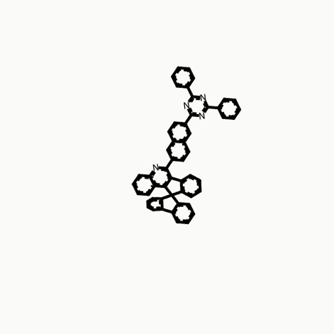 c1ccc(-c2nc(-c3ccccc3)nc(-c3ccc4cc(-c5nc6ccccc6c6c5-c5ccccc5C65c6ccccc6-c6ccccc65)ccc4c3)n2)cc1